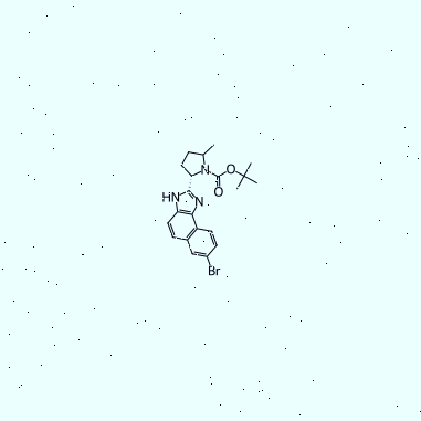 CC1CC[C@@H](c2nc3c(ccc4cc(Br)ccc43)[nH]2)N1C(=O)OC(C)(C)C